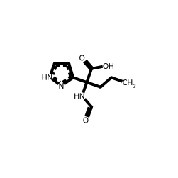 CCCC(NC=O)(C(=O)O)c1cc[nH]n1